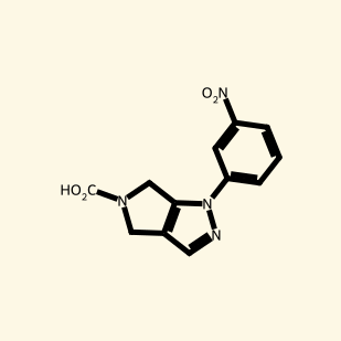 O=C(O)N1Cc2cnn(-c3cccc([N+](=O)[O-])c3)c2C1